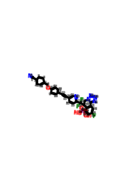 N#Cc1ccc(COc2ccc(C#Cc3ccc(C(F)(F)C4(OP(=O)(O)O)Cn5nnnc5-c5cc(F)ccc54)nc3)cc2)cc1